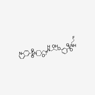 O=S(=O)(NCCF)c1cccc(OCC(O)CN[C@H]2COC3(CCN(S(=O)(=O)c4ccc5ncccc5c4)CC3)C2)c1